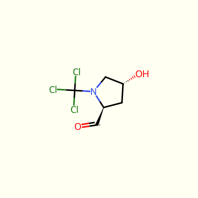 O=[C][C@@H]1C[C@@H](O)CN1C(Cl)(Cl)Cl